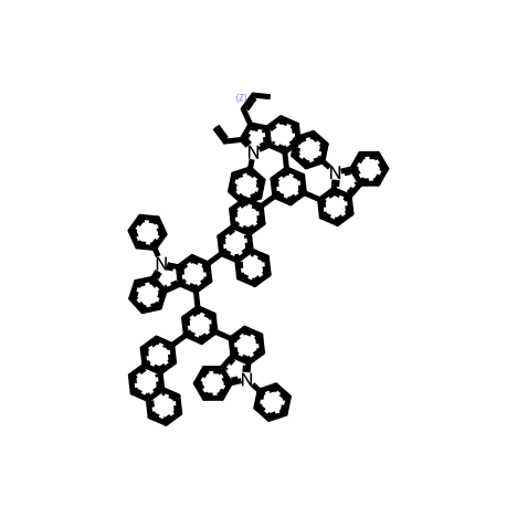 C=Cc1c(/C=C\C)c2cccc(-c3cc(-c4ccc5cc(-c6cc(-c7cc(-c8ccc9ccc%10ccccc%10c9c8)cc(-c8cccc9c8c8ccccc8n9-c8ccccc8)c7)c7c8ccccc8n(-c8ccccc8)c7c6)c6ccccc6c5c4)cc(-c4cccc5c6ccccc6n(-c6ccccc6)c45)c3)c2n1-c1ccccc1